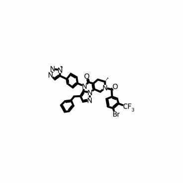 C[C@H]1Cc2c(n3ncc(Cc4ccccc4)c3n(-c3ccc(-c4cnnn4C)cc3)c2=O)CN1C(=O)c1ccc(Br)c(C(F)(F)F)c1